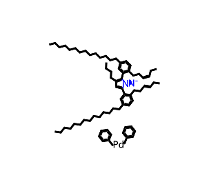 CCC=CCCc1ccc(CCCCCCCCCCCCCC)cc1C1=CC(CCCC)=C(c2cc(CCCCCCCCCCCCCC)ccc2CCC=CCC)[N+]1=[N-].c1ccc([CH2][Pd][CH2]c2ccccc2)cc1